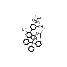 Cc1cc(-c2c(C#N)ncc3c2c(OC(F)F)nn3C(c2ccccc2)(c2ccccc2)c2ccccc2)ccc1S(=O)(=O)C(F)F